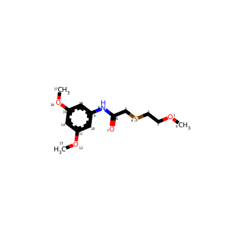 COCCSCC(=O)Nc1cc(OC)cc(OC)c1